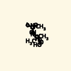 CCc1cc(-c2noc(-c3cc(OC)nc(C4CCCC4)c3)n2)cc(C)c1OCC(=O)O